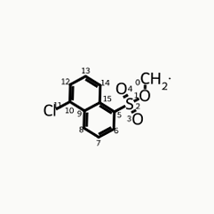 [CH2]OS(=O)(=O)c1cccc2c(Cl)cccc12